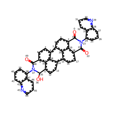 O=C1c2ccc3c4ccc5c6c(ccc(c7ccc(c2c37)C(=O)N1c1cccc2ncccc12)c64)C(O)N(c1cccc2ncccc12)C5=O